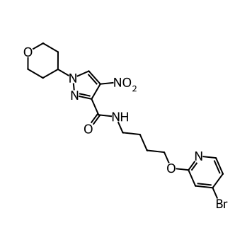 O=C(NCCCCOc1cc(Br)ccn1)c1nn(C2CCOCC2)cc1[N+](=O)[O-]